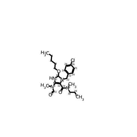 CCCCCOC1NC(N(C)C=O)=C(C(=O)N(C)CCC)N1Cc1ccc(Cl)cc1